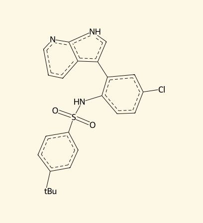 CC(C)(C)c1ccc(S(=O)(=O)Nc2ccc(Cl)cc2-c2c[nH]c3ncccc23)cc1